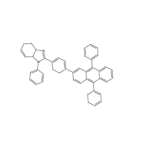 C1=CCCC(c2c3ccccc3c(-c3ccccc3)c3cc(C4=CC=C(C5=NC6CCC=CC6N5c5ccccc5)CC4)ccc23)=C1